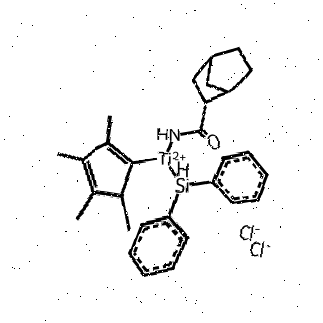 CC1=C(C)C(C)[C]([Ti+2]([NH]C(=O)C2CC3CCC2C3)[SiH](c2ccccc2)c2ccccc2)=C1C.[Cl-].[Cl-]